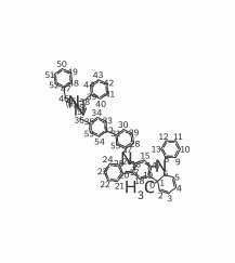 CC12C=CC=CC1N(c1ccccc1)c1cc3c(cc12)c1ccccc1n3-c1cccc(-c2ccc(C[N@]3C(c4ccccc4)[N@]3Cc3ccccc3)cc2)c1